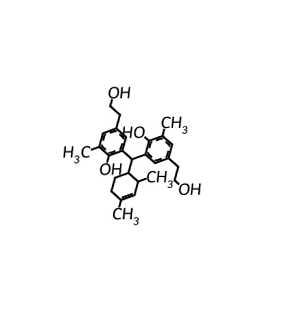 CC1=CC(C)C(C(c2cc(CCO)cc(C)c2O)c2cc(CCO)cc(C)c2O)CC1